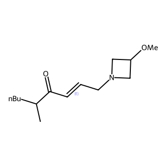 CCCCC(C)C(=O)/C=C/CN1CC(OC)C1